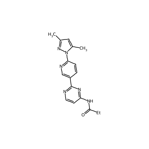 CCC(=O)Nc1ccnc(-c2ccc(-n3nc(C)cc3C)nc2)n1